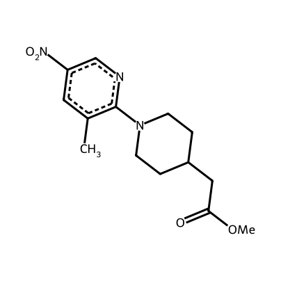 COC(=O)CC1CCN(c2ncc([N+](=O)[O-])cc2C)CC1